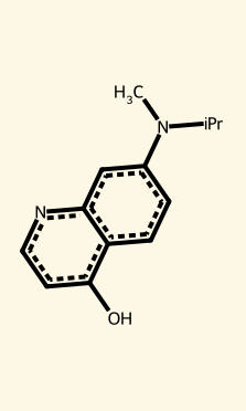 CC(C)N(C)c1ccc2c(O)ccnc2c1